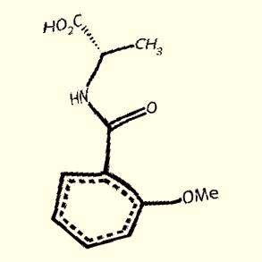 COc1ccccc1C(=O)N[C@@H](C)C(=O)O